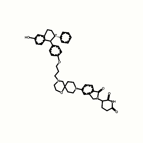 O=C1CCC(N2Cc3cc(N4CCC5(CC4)CN(CCCOc4ccc(C6c7ccc(O)cc7CC[C@@H]6c6ccccc6)cc4)CCO5)ccc3C2=O)C(=O)N1